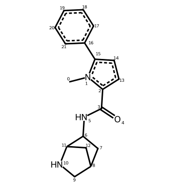 Cn1c(C(=O)NC2CC3CNC2C3)ccc1-c1ccccc1